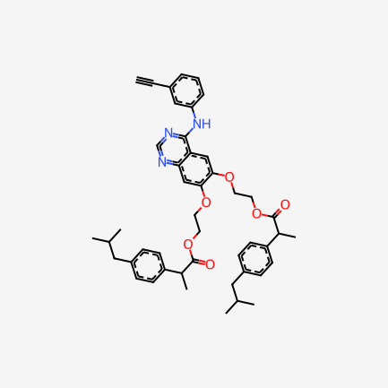 C#Cc1cccc(Nc2ncnc3cc(OCCOC(=O)C(C)c4ccc(CC(C)C)cc4)c(OCCOC(=O)C(C)c4ccc(CC(C)C)cc4)cc23)c1